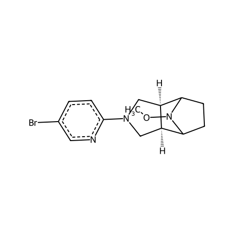 CON1C2CCC1[C@@H]1CN(c3ccc(Br)cn3)C[C@H]21